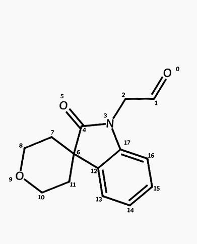 O=CCN1C(=O)C2(CCOCC2)c2ccccc21